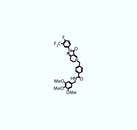 COc1cc(CNC(=O)c2ccc(CN3C=C4C(=O)N(c5ccc(F)c(C(F)(F)F)c5)N=C4CC3)cc2)cc(OC)c1OC